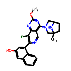 COc1nc(N2CC3CCC(C)(C2)N3)c2cnc(-c3cc(O)cc4ccccc34)c(F)c2n1